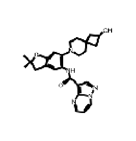 CC1(C)Cc2cc(NC(=O)c3cnn4cccnc34)c(N3CCC4(CC3)CC(O)C4)cc2O1